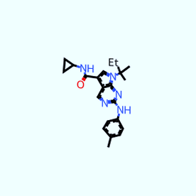 CCC(C)(C)n1cc(C(=O)NC2CC2)c2cnc(Nc3ccc(C)cc3)nc21